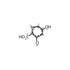 O=C(O)c1ncc(O)cc1Cl